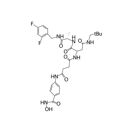 C[C@H](NC(=O)C(CC(=O)NCC(C)(C)C)NC(=O)CCC(=O)Nc1ccc(C(=O)NO)cc1)C(=O)NCc1ccc(F)cc1F